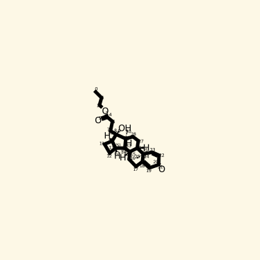 CCCOC(=O)CC[C@]1(O)[C@H]2CC[C@H]2[C@H]2[C@@H]3CCC4=CC(=O)C=C[C@]4(C)[C@H]3CC[C@@]21C